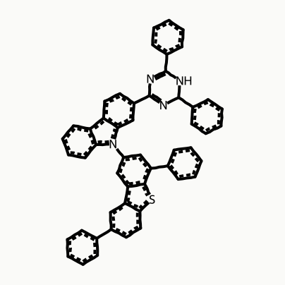 c1ccc(C2=NC(c3ccc4c5ccccc5n(-c5cc(-c6ccccc6)c6sc7ccc(-c8ccccc8)cc7c6c5)c4c3)=NC(c3ccccc3)N2)cc1